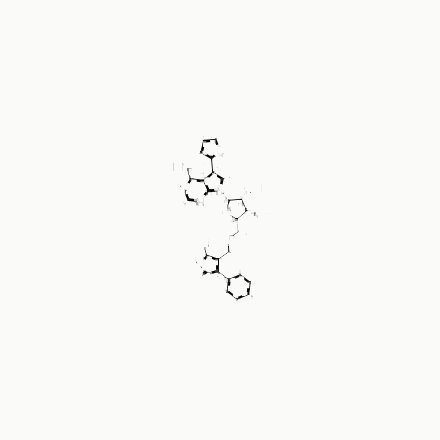 Cc1noc(-c2ccccc2)c1CSC[C@H]1O[C@@H](n2cc(-c3ccco3)c3c(N)ncnc32)[C@H](O)[C@@H]1O